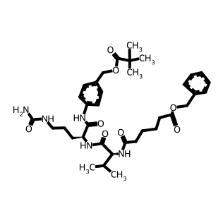 CC(C)[C@H](NC(=O)CCCCC(=O)OCc1ccccc1)C(=O)N[C@@H](CCCNC(N)=O)C(=O)Nc1ccc(COC(=O)C(C)(C)C)cc1